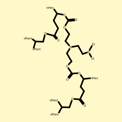 CCCCCCC(CCC(=O)OCC(CCCCC)CCCCC)OC(=O)OCCN(CCOC(=O)OC(CCCCCC)CCC(=O)OCC(CCCCC)CCCCC)CCN(CC)CC